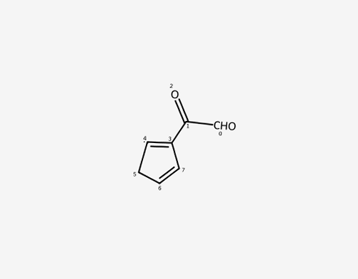 O=CC(=O)C1=[C]CC=C1